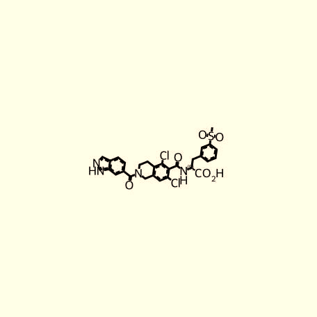 CS(=O)(=O)c1cccc(C[C@H](NC(=O)c2c(Cl)cc3c(c2Cl)CCN(C(=O)c2ccc4cn[nH]c4c2)C3)C(=O)O)c1